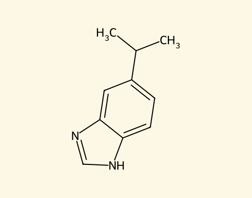 CC(C)c1ccc2[nH]cnc2c1